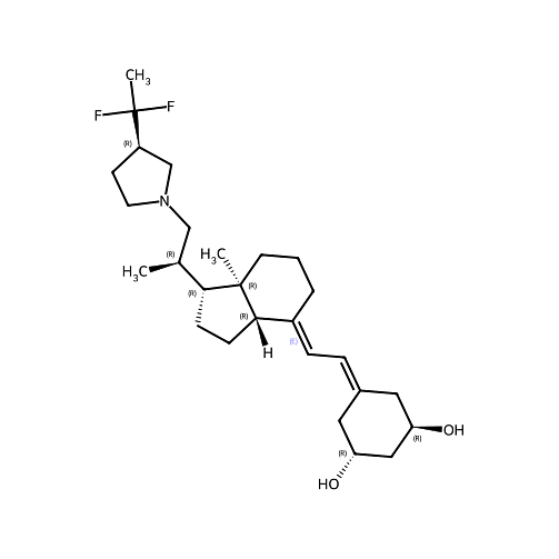 C[C@@H](CN1CC[C@@H](C(C)(F)F)C1)[C@H]1CC[C@H]2/C(=C/C=C3C[C@@H](O)C[C@H](O)C3)CCC[C@]12C